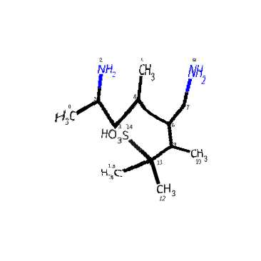 CC(N)CC(C)C(CN)C(C)C(C)(C)S(=O)(=O)O